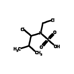 CC(C)C(Cl)N(CCl)S(=O)(=O)O